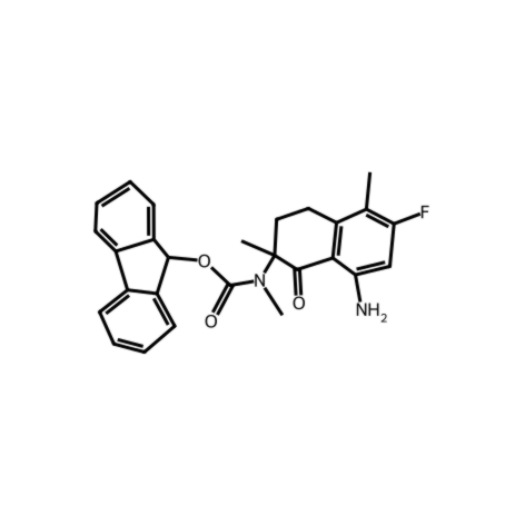 Cc1c(F)cc(N)c2c1CCC(C)(N(C)C(=O)OC1c3ccccc3-c3ccccc31)C2=O